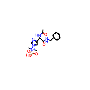 CC(=O)NC(C(=O)NCc1ccccc1)c1cn([N+](C)(C)S(=O)(=O)O)cn1